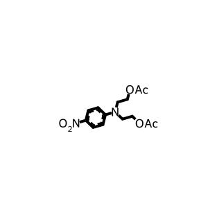 CC(=O)OCCN(CCOC(C)=O)c1ccc([N+](=O)[O-])cc1